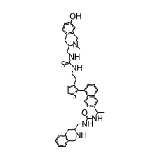 CC(NC(=O)NCC1Cc2ccccc2CN1)c1ccc2c(-c3sccc3CCNC(=S)NCC3Cc4ccc(O)cc4CN3C)cccc2c1